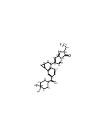 O=C(c1cnc2c(c1)C1CC1CN2c1ccn2c(=O)n(CC(F)(F)F)nc2c1)N1CCC(F)(F)CC1